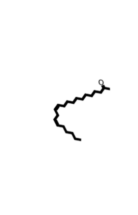 CCCCC/C=C\C/C=C\CCCCCCCCCC(C)=O